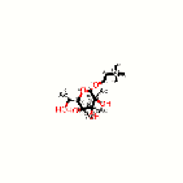 CC(=O)C(O)[C@H]1O[C@H](OCC[Si](C)(C)C)[C@@](O)(C(C)=O)[C@](O)(C(C)=O)[C@]1(O)C(C)=O